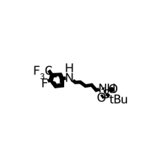 CC(C)(C)S(=O)(=O)NCCCCCNc1ccc(F)c(C(F)(F)F)c1